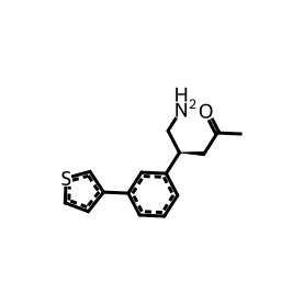 CC(=O)C[C@H](CN)c1cccc(-c2ccsc2)c1